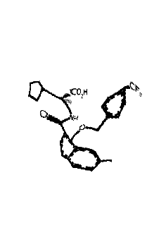 Cc1ccc2ccc(C(=O)N[C@H](C(=O)O)C3CCCC3)c(OCc3ccc(C(F)(F)F)cc3)c2c1